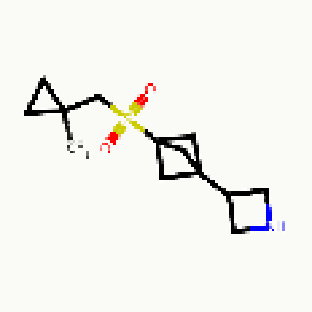 O=S(=O)(CC1(C(F)(F)F)CC1)C12CC(C3CNC3)(C1)C2